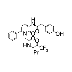 CC(C)C(NC(=O)Cn1c(-c2ccccc2)ccc(NC(=O)Cc2ccc(O)cc2)c1=O)C(=O)C(F)(F)F